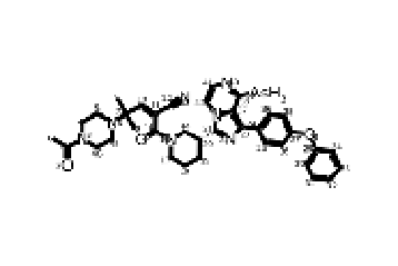 CC(=O)N1CCN(C(C)(C)/C=C(/C#N)C(=O)N2CCC[C@@H](c3nc(-c4ccc(Oc5ccccc5)cc4)c4c([AsH2])nccn34)C2)CC1